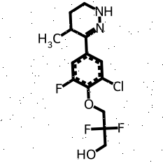 CC1CCNN=C1c1cc(F)c(OCC(F)(F)CO)c(Cl)c1